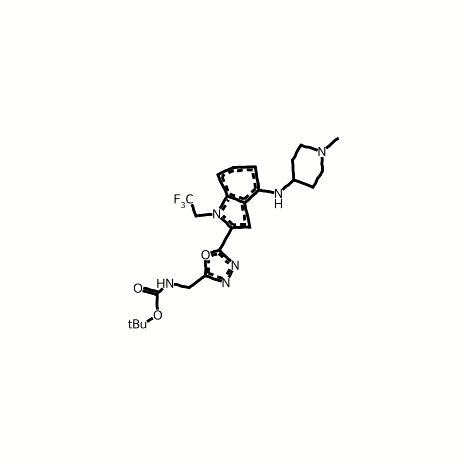 CN1CCC(Nc2cccc3c2cc(-c2nnc(CNC(=O)OC(C)(C)C)o2)n3CC(F)(F)F)CC1